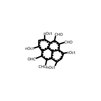 CCCCCCCCc1cc(CCCCCCCC)c2c(C=O)c(C=O)c3c(CCCCCCCC)cc(CCCCCCCC)c4c(C=O)c(C=O)c1c2c43